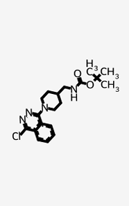 CC(C)(C)OC(=O)NCC1CCN(c2nnc(Cl)c3ccccc23)CC1